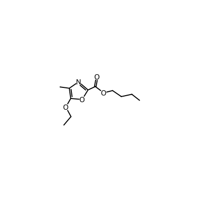 CCCCOC(=O)c1nc(C)c(OCC)o1